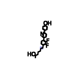 CC(O)CCC/C=C/c1ccc(-c2ccc(-c3ccc(O)cc3)nc2)c(F)c1F